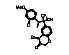 CCN1C(=O)COc2ccc(C(O)(C(C)c3ccc(OC)cc3Cl)C(F)(F)F)cc21